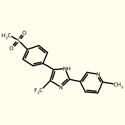 Cc1ccc(-c2nc(C(F)(F)F)c(-c3ccc(S(C)(=O)=O)cc3)[nH]2)cn1